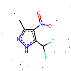 Cc1n[nH]c(C(F)F)c1[N+](=O)[O-]